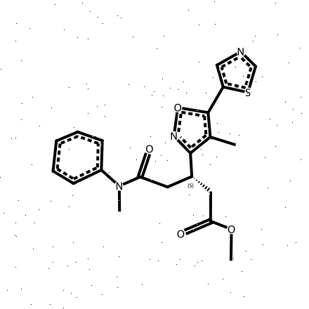 COC(=O)C[C@H](CC(=O)N(C)c1ccccc1)c1noc(-c2cncs2)c1C